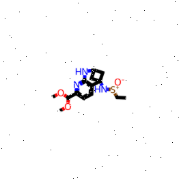 CC[S+]([O-])NC12CC(C1)Nc1nc(C(OC)OC)ccc12